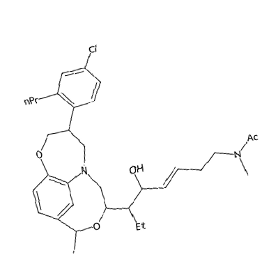 CCCc1cc(Cl)ccc1C1COc2ccc3cc2N(C1)CC(C(CC)C(O)/C=C/CCN(C)C(C)=O)OC3C